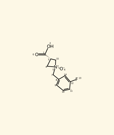 O=C(O)[C@H]1C[N@+]([O-])(Cc2cc[c]c(F)c2)C1